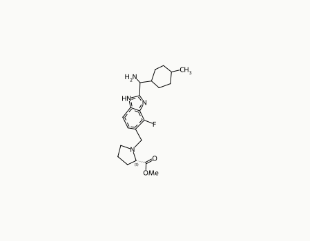 COC(=O)[C@@H]1CCCN1Cc1ccc2[nH]c(C(N)C3CCC(C)CC3)nc2c1F